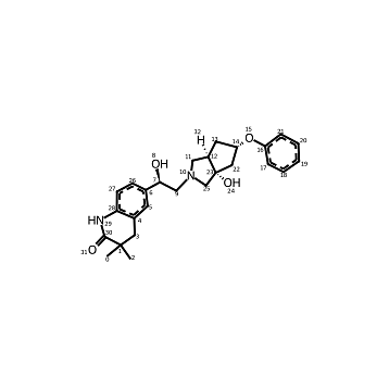 CC1(C)Cc2cc([C@@H](O)CN3C[C@H]4C[C@H](Oc5ccccc5)C[C@@]4(O)C3)ccc2NC1=O